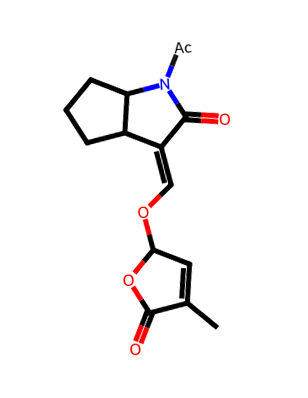 CC(=O)N1C(=O)C(=COC2C=C(C)C(=O)O2)C2CCCC21